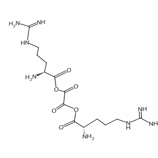 N=C(N)NCCC[C@H](N)C(=O)OC(=O)C(=O)OC(=O)[C@@H](N)CCCNC(=N)N